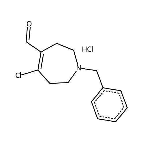 Cl.O=CC1=C(Cl)CCN(Cc2ccccc2)CC1